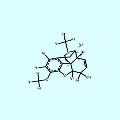 [2H]c1c([2H])c(OC([2H])([2H])[2H])c2c3c1C[C@@]1([2H])N(C([2H])([2H])[2H])CC[C@@]34C([2H])(O2)C([2H])(O)C=C[C@@]14[2H]